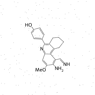 COc1cc2nc(-c3ccc(O)cc3)c3c(c2c(C=N)c1N)CCCC3